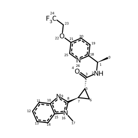 C[C@@H](NC(=O)[C@@H]1C[C@H]1c1nc2ccccc2n1C)c1ccc(OCC(F)(F)F)cn1